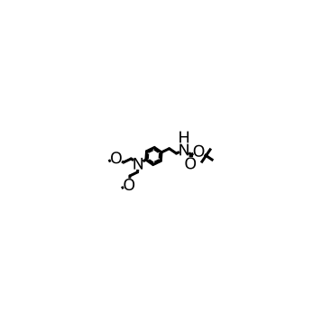 COCCN(CCOC)c1ccc(CCNC(=O)OC(C)(C)C)cc1